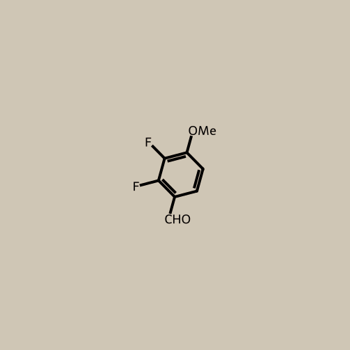 COc1ccc(C=O)c(F)c1F